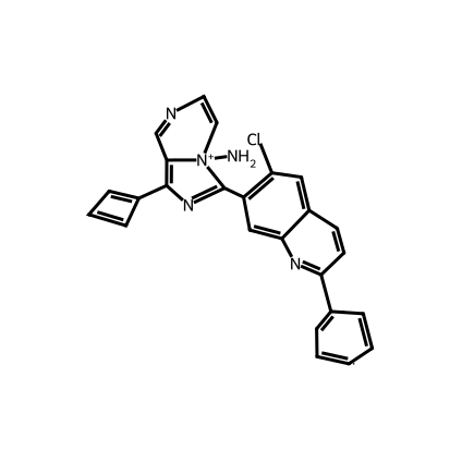 N[N+]12C=CN=CC1=C(C1=CC=C1)N=C2c1cc2nc(-c3cc[c]cc3)ccc2cc1Cl